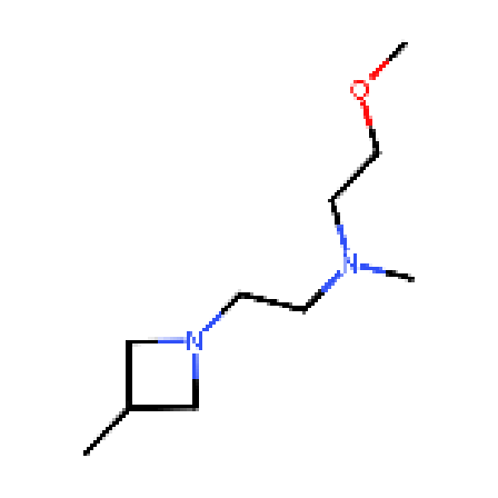 COCCN(C)CCN1CC(C)C1